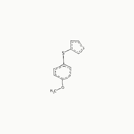 COc1ccc(Sc2ccsc2)cc1